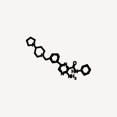 Nc1ncc(-c2cccc(CN3CCC(N4CCCC4)CC3)c2)nc1C(=O)Nc1ccccc1